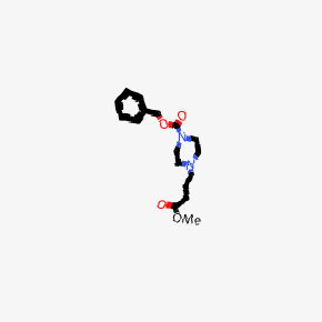 COC(=O)CCCN1CCN(C(=O)OCc2ccccc2)CC1